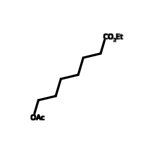 CCOC(=O)CCCCCCOC(C)=O